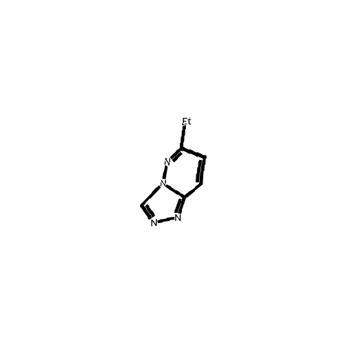 CCc1ccc2nncn2n1